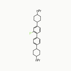 CCCC1CCC(c2ccc(-c3ccc(C4CCC(CCC)CC4)cc3F)cc2)CC1